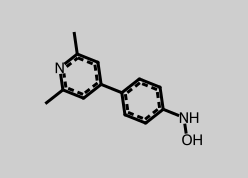 Cc1cc(-c2ccc(NO)cc2)cc(C)n1